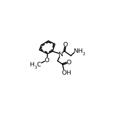 COc1ccccc1N(CC(=O)O)C(=O)CN